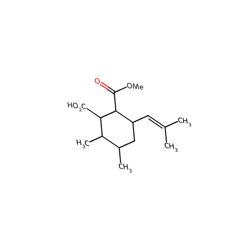 COC(=O)C1C(C=C(C)C)CC(C)C(C)C1C(=O)O